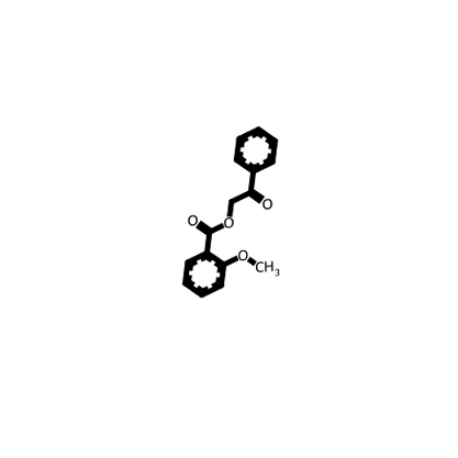 COc1ccccc1C(=O)OCC(=O)c1ccccc1